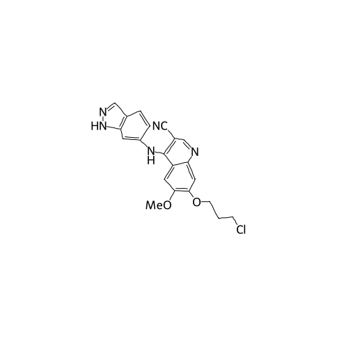 COc1cc2c(Nc3ccc4cn[nH]c4c3)c(C#N)cnc2cc1OCCCCl